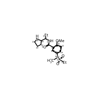 CCC(NC(=O)c1cc(N(C)S(=O)(=O)CC)ccc1OC)C1CCCN1